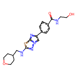 O=C(NCCO)c1ccc(-c2cn3nc(NCC4CCOCC4)sc3n2)cc1